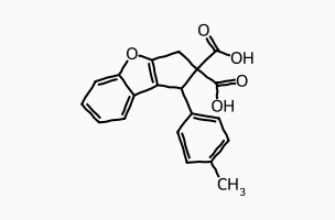 Cc1ccc(C2c3c(oc4ccccc34)CC2(C(=O)O)C(=O)O)cc1